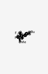 COCCOc1cc(F)ccc1-c1c(OS(=O)(=O)C(F)(F)F)nc(-c2ccc3c(c2)CCN(C(=O)OC(C)(C)C)C3)c2ccsc12